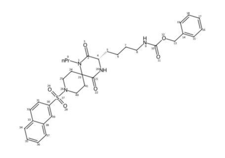 CCCN1C(=O)[C@H](CCCCNC(=O)OCc2ccccc2)NC(=O)C12CCN(S(=O)(=O)c1ccc3ccccc3c1)CC2